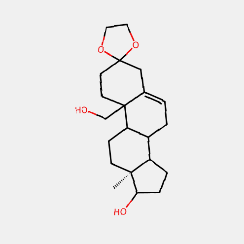 C[C@]12CCC3C(CC=C4CC5(CCC43CO)OCCO5)C1CCC2O